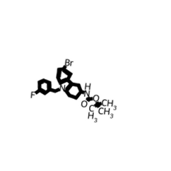 CC(C)(C)OC(=O)NC1CCc2c(c3cc(Br)ccc3n2Cc2cccc(F)c2)C1